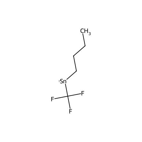 CCC[CH2][Sn][C](F)(F)F